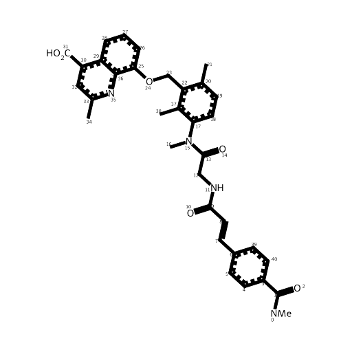 CNC(=O)c1ccc(C=CC(=O)NCC(=O)N(C)c2ccc(C)c(COc3cccc4c(C(=O)O)cc(C)nc34)c2C)cc1